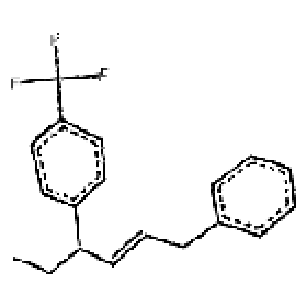 CC[C](C=CCc1ccccc1)c1ccc(C(F)(F)F)cc1